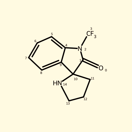 O=C1N(C(F)(F)F)c2ccccc2C12CCCN2